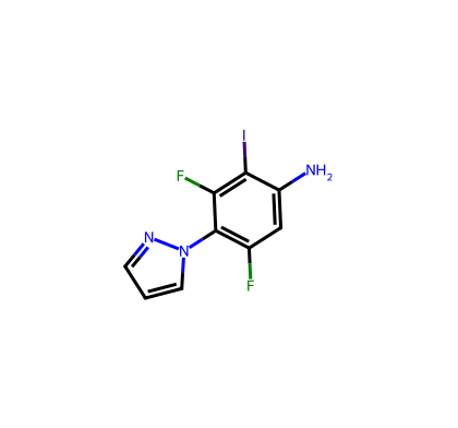 Nc1cc(F)c(-n2cccn2)c(F)c1I